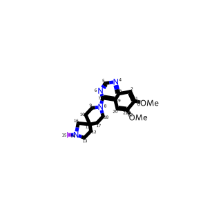 COc1cc2ncnc(N3CCC4(CCN(I)C4)CC3)c2cc1OC